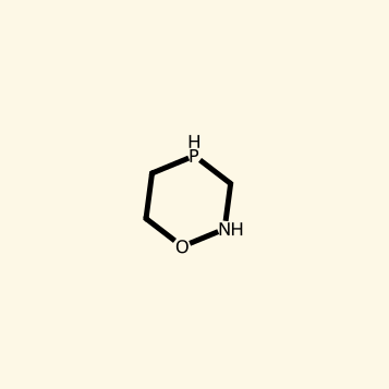 C1CPCNO1